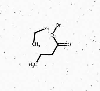 CCCC(=O)OBr.C[CH2][Zn]